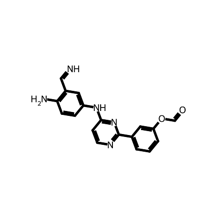 N=Cc1cc(Nc2ccnc(-c3cccc(OC=O)c3)n2)ccc1N